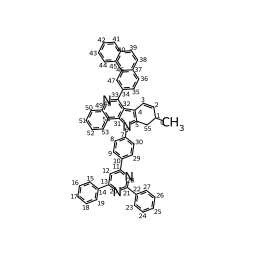 CC1C=Cc2c(n(-c3ccc(-c4cc(-c5ccccc5)nc(-c5ccccc5)n4)cc3)c3c2c(-c2ccc4ccc5ccccc5c4c2)nc2ccccc23)C1